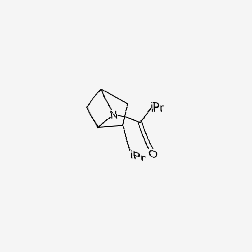 CC(C)C(=O)N1C2CC(C(C)C)C1C2